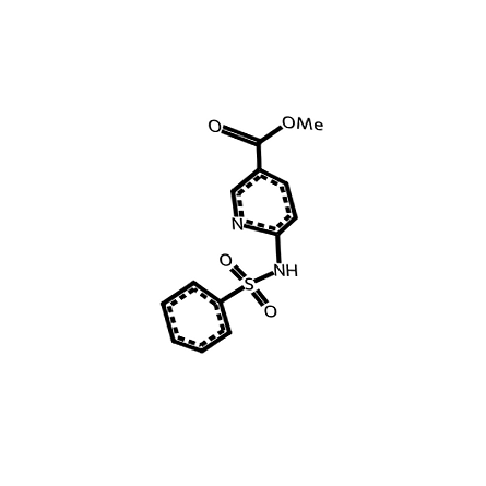 COC(=O)c1ccc(NS(=O)(=O)c2ccccc2)nc1